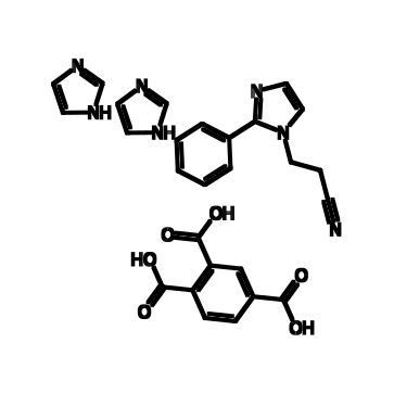 N#CCCn1ccnc1-c1ccccc1.O=C(O)c1ccc(C(=O)O)c(C(=O)O)c1.c1c[nH]cn1.c1c[nH]cn1